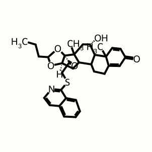 CCCC1O[C@@H]2CC3C4CCC5=CC(=O)C=CC5(C)C4[C@@H](O)CC3(C)[C@]2(C(=O)CSc2nccc3ccccc23)O1